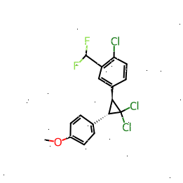 COc1ccc([C@@H]2[C@@H](c3ccc(Cl)c(C(F)F)c3)C2(Cl)Cl)cc1